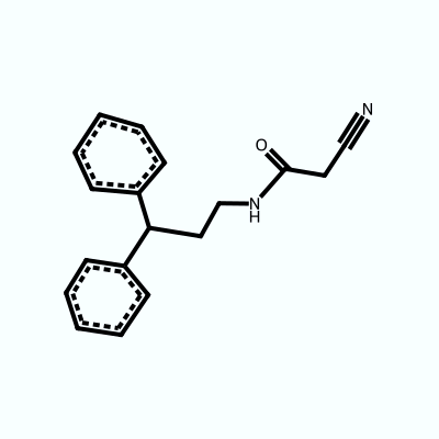 N#CCC(=O)NCCC(c1ccccc1)c1ccccc1